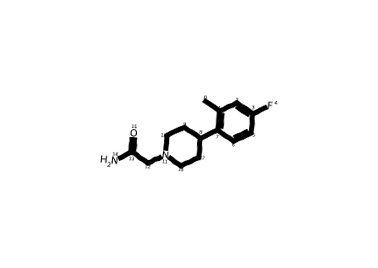 Cc1cc(F)ccc1C1CCN(CC(N)=O)CC1